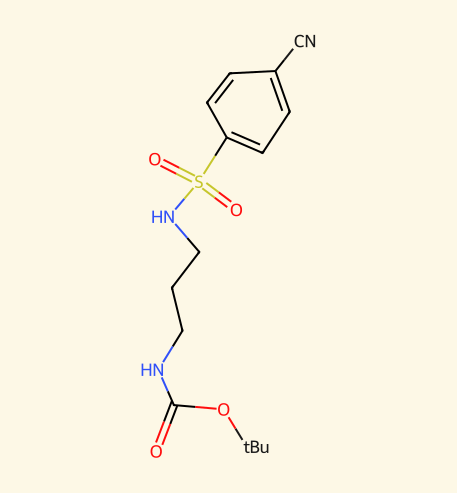 CC(C)(C)OC(=O)NCCCNS(=O)(=O)c1ccc(C#N)cc1